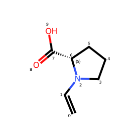 C=CN1CCC[C@H]1C(=O)O